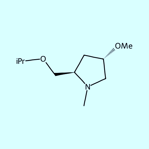 CO[C@H]1C[C@H](COC(C)C)N(C)C1